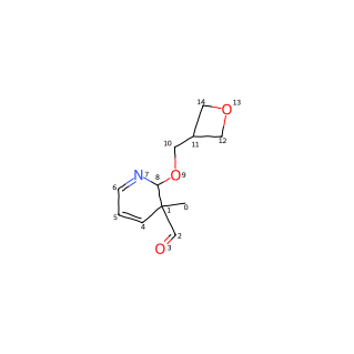 CC1(C=O)C=CC=NC1OCC1COC1